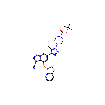 Cc1c(-c2cc(O[C@@H]3CCc4cccnc43)c3c(C#N)cnn3c2)nnn1C1CCN(C(=O)OC(C)(C)C)CC1